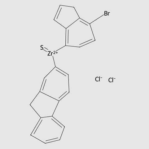 [Cl-].[Cl-].[S]=[Zr+2]([c]1ccc2c(c1)Cc1ccccc1-2)[c]1ccc(Br)c2c1C=CC2